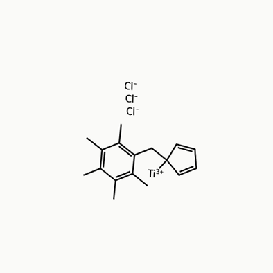 Cc1c(C)c(C)c(C[C]2([Ti+3])C=CC=C2)c(C)c1C.[Cl-].[Cl-].[Cl-]